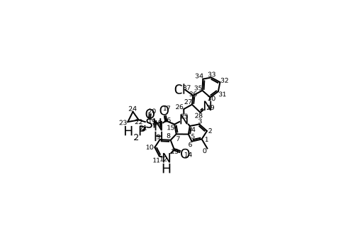 Cc1ccc2c(c1)c(-c1ccc[nH]c1=O)c(C(=O)N[SH](=O)(P)C1CC1)n2Cc1cnc2ccccc2c1Cl